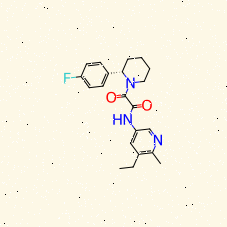 CCc1cc(NC(=O)C(=O)N2CCCC[C@H]2c2ccc(F)cc2)cnc1C